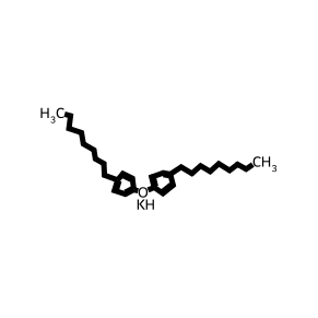 CCCCCCCCCc1ccc(Oc2ccc(CCCCCCCCC)cc2)cc1.[KH]